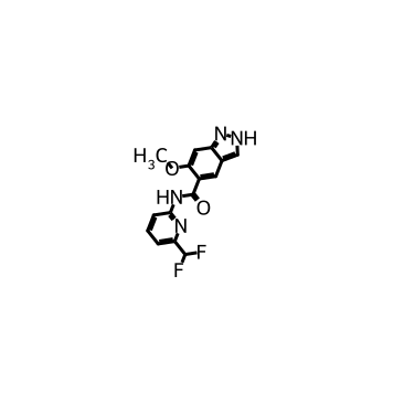 COc1cc2n[nH]cc2cc1C(=O)Nc1cccc(C(F)F)n1